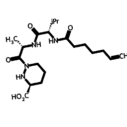 C=CCCCCC(=O)N[C@H](C(=O)N[C@@H](C)C(=O)N1CCC[C@@H](C(=O)O)N1)C(C)C